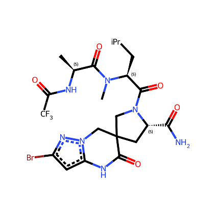 CC(C)C[C@@H](C(=O)N1CC2(C[C@H]1C(N)=O)Cn1nc(Br)cc1NC2=O)N(C)C(=O)[C@H](C)NC(=O)C(F)(F)F